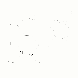 CON(C)C(=O)C(Cc1ccc(Cl)cc1)c1cccc(F)c1